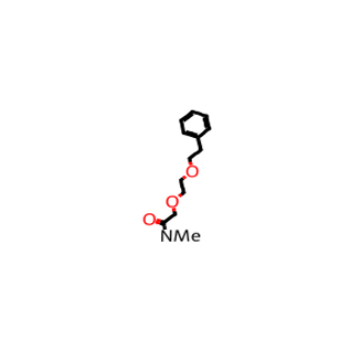 CNC(=O)COCCOCCc1ccccc1